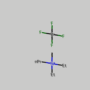 CCC[N+](C)(CC)CC.F[B-](F)(F)F